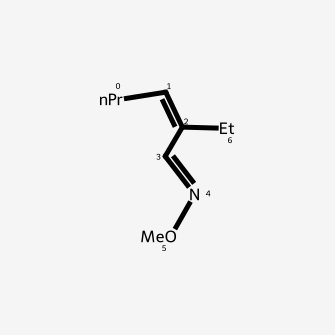 CCCC=C(C=NOC)CC